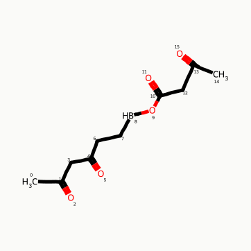 CC(=O)CC(=O)CCBOC(=O)CC(C)=O